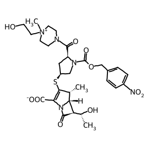 C[C@@H](O)[C@H]1C(=O)N2C(C(=O)[O-])=C(S[C@H]3C[C@@H](C(=O)N4CC[N+](C)(CCO)CC4)N(C(=O)OCc4ccc([N+](=O)[O-])cc4)C3)[C@H](C)[C@H]12